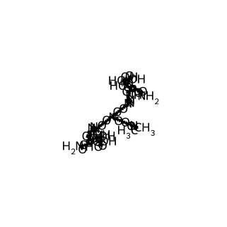 CC(C)=NOCCOCCOCCN(CCOCCOCCn1cc(CNC(=O)c2cc(COC(N)=O)ccc2O[C@@H]2O[C@H](C(=O)O)[C@@H](O)[C@H](O)[C@H]2O)nn1)CCOCCOCCn1cc(CNC(=O)c2cc(COC(N)=O)ccc2O[C@@H]2O[C@H](C(=O)O)[C@@H](O)[C@H](O)[C@H]2O)nn1